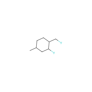 CC1CCC(CF)C(F)C1